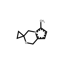 Cc1ccc2n1CC1(CC1)OC2